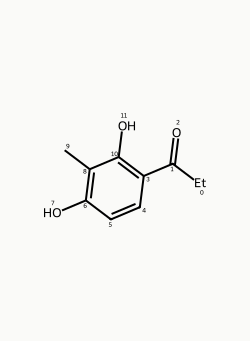 CCC(=O)c1ccc(O)c(C)c1O